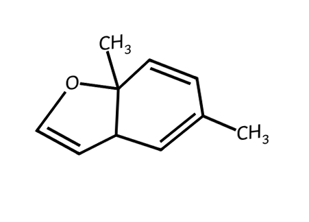 CC1=CC2C=COC2(C)C=C1